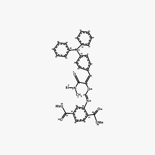 CCN(C)C(=O)/C(=C\c1ccc(N(c2ccccc2)c2ccccc2)cc1)OC=Nc1cc(C(=O)OC)ccc1C(=O)OC